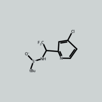 CC(C)(C)[S+]([O-])NC(c1cc(Cl)ccn1)C(F)(F)F